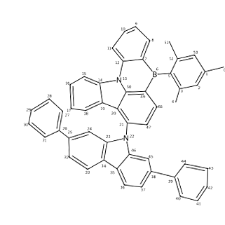 Cc1cc(C)c(B2c3ccccc3-n3c4ccccc4c4c(-n5c6cc(-c7ccccc7)ccc6c6ccc(-c7ccccc7)cc65)ccc2c43)c(C)c1